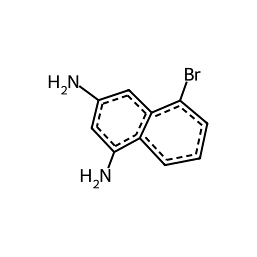 Nc1cc(N)c2cccc(Br)c2c1